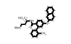 CSCC[C@H](NC(=O)c1ccc(Sc2ccc3ccccc3c2)cc1-c1ccccc1C)C(=O)O